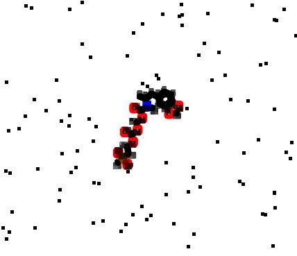 CC(Cc1ccc2c(c1)OCO2)N(C)C(=O)OCOC(=O)OCCS(C)(=O)=O